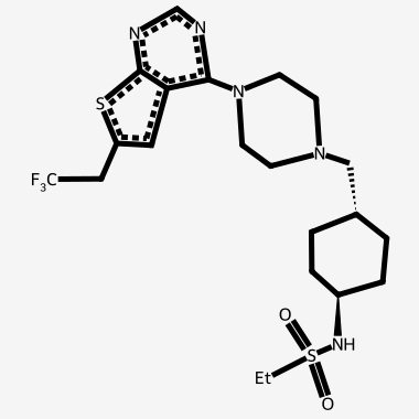 CCS(=O)(=O)N[C@H]1CC[C@H](CN2CCN(c3ncnc4sc(CC(F)(F)F)cc34)CC2)CC1